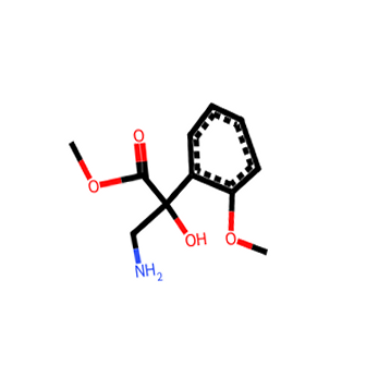 COC(=O)C(O)(CN)c1ccccc1OC